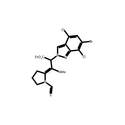 CCOC(=O)C(/C(NC)=C1\CCCN1C=S)n1cc2c(Cl)cc(Br)c(Cl)c2n1